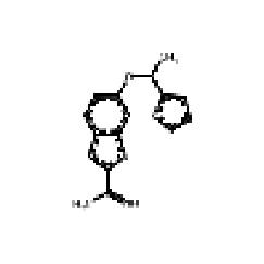 CC(Oc1ccc2cc(C(=N)N)sc2c1)c1cccs1